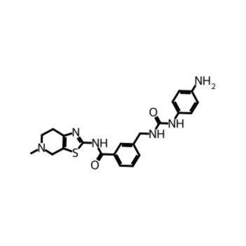 CN1CCc2nc(NC(=O)c3cccc(CNC(=O)Nc4ccc(N)cc4)c3)sc2C1